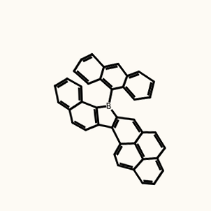 c1ccc2c3c(ccc2c1)-c1c(cc2ccc4cccc5ccc1c2c45)B3c1c2ccccc2cc2ccccc12